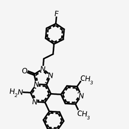 Cc1cc(-c2c(-c3ccccc3)nc(N)n3c(=O)n(CCc4ccc(F)cc4)nc23)cc(C)n1